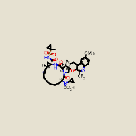 COc1ccc2nc(C(F)(F)F)c3c(c2c1)CC[C@@]1(CN2C(=O)[C@@H](N(C(=O)O)C4CC4)CCCCC/C=C\[C@@H]4C[C@@]4(C(=O)NS(=O)(=O)C4(C)CC4)NC(=O)[C@@H]2C1C(C)C)O3